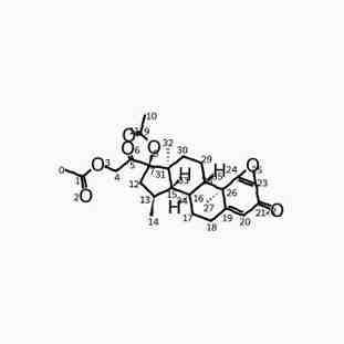 CC(=O)OCC(=O)[C@@]1(OC(C)=O)C[C@H](C)[C@H]2[C@@H]3CCC4=CC(=O)C5=C(O5)[C@]4(C)[C@H]3CC[C@@]21C